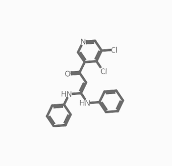 O=C(C=C(Nc1ccccc1)Nc1ccccc1)c1cncc(Cl)c1Cl